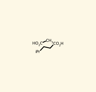 CC(=O)O.CC(C)CCC(=O)O